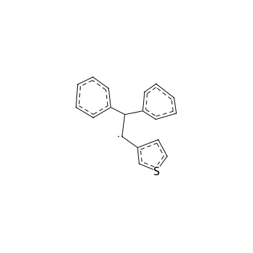 [CH](c1ccsc1)C(c1ccccc1)c1ccccc1